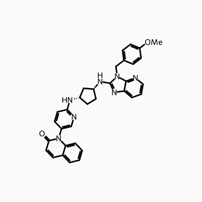 COc1ccc(Cn2c(N[C@H]3CC[C@H](Nc4ccc(-n5c(=O)ccc6ccccc65)cn4)C3)nc3cccnc32)cc1